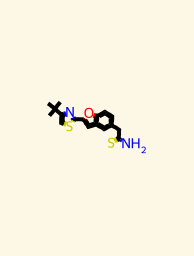 CC(C)(C)c1csc(-c2cc3cc(CC(N)=S)ccc3o2)n1